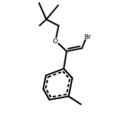 Cc1cccc(C(=CBr)OCC(C)(C)C)c1